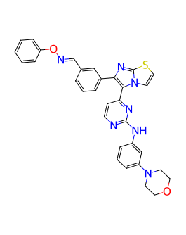 C(=N\Oc1ccccc1)/c1cccc(-c2nc3sccn3c2-c2ccnc(Nc3cccc(N4CCOCC4)c3)n2)c1